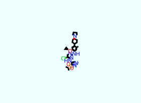 Cc1cc(Nc2ncc(Cl)c(Nc3cn(C)nc3S(=O)(=O)C(C)C)n2)c(OC2CC2)cc1C1CCC(N2CCCC2)CC1